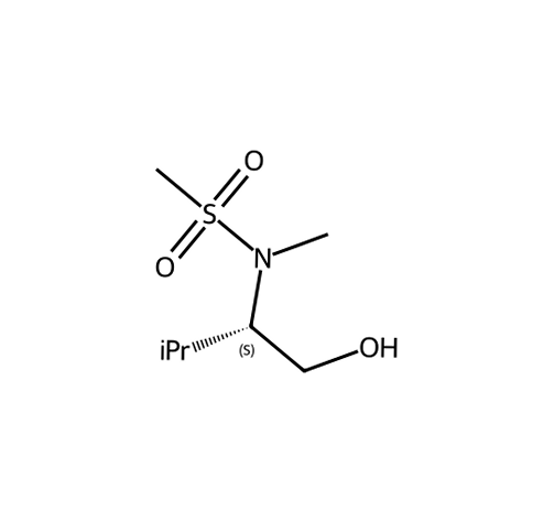 CC(C)[C@@H](CO)N(C)S(C)(=O)=O